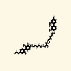 CCCc1ccc(-c2ccc(OCCCCCOCC(C)COCCCCCOc3ccc(-c4ccc(C)cc4F)c(F)c3F)c(F)c2F)c(F)c1